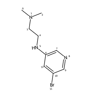 CN(C)CCNc1cncc(Br)c1